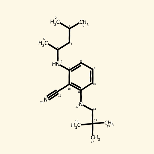 CC(C)CC(C)Nc1cccc([N]CC(C)(C)C)c1C#N